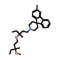 CCC(C)(CCOC(C)(CC)CCN1CCC2(CC1)c1ccccc1-c1cc(C)ccc12)OC